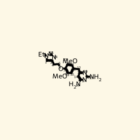 CCn1cc(CCOc2c(OC)cc(Cc3cc(N)nc(N)n3)cc2OC)nn1